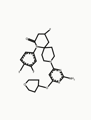 Nc1nc(OC2CCOCC2)cc(N2CCC3(CC2)CC(F)CC(=O)N3c2ccc(F)c(F)c2)n1